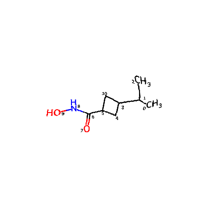 CC(C)C1CC(C(=O)NO)C1